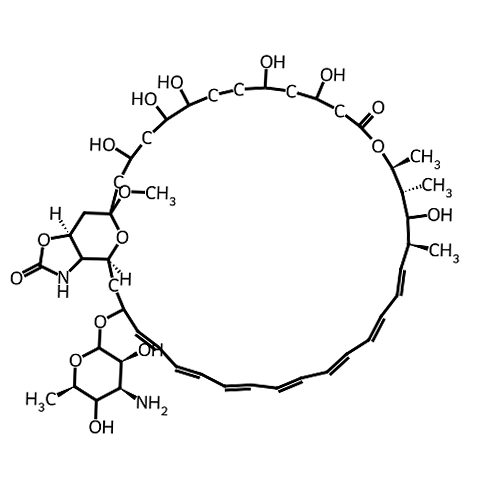 COC12CC(O)CC(O)C(O)CCC(O)CC(O)CC(=O)O[C@@H](C)[C@H](C)C(O)[C@@H](C)/C=C/C=C/C=C/C=C/C=C/C=C/C=C/C(OC3O[C@H](C)C(O)[C@H](N)[C@@H]3O)C[C@H](O1)C1NC(=O)O[C@H]1C2